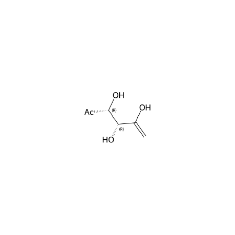 C=C(O)[C@H](O)[C@@H](O)C(C)=O